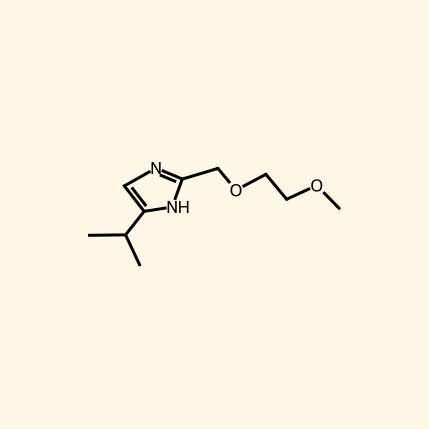 COCCOCc1ncc(C(C)C)[nH]1